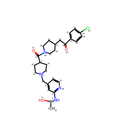 CB(O)Nc1cc(CN2CCC(C(=O)N3CCC(CC(=O)c4ccc(Cl)cc4)CC3)CC2)ccn1